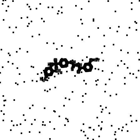 CCCOc1cccc(C(=O)NC(=S)Nc2ccc(S(=O)(=O)Nc3ccc(C)cc3C)cc2)c1